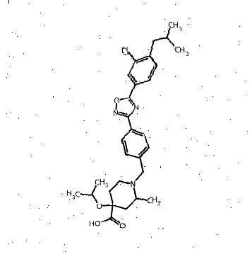 CC(C)Cc1ccc(-c2nc(-c3ccc(CN4CCC(OC(C)C)(C(=O)O)CC4C)cc3)no2)cc1Cl